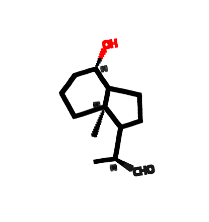 C[C@H](C=O)C1CCC2[C@@H](O)CCC[C@]12C